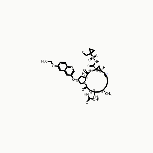 CCOc1ccc2ncc(O[C@@H]3C[C@H]4C(=O)N[C@]5(C(=O)NS(=O)(=O)C6(CF)CC6)C[C@H]5/C=C\CC[C@@H](C)C[C@@H](C)[C@H](NC(=O)O)C(=O)N4C3)cc2c1